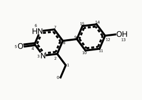 CCc1nc(=O)[nH]cc1-c1ccc(O)cc1